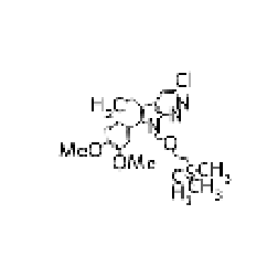 C=Cc1c(-c2ccc(OC)c(OC)c2)n(COCCS(C)(C)C)c2nnc(Cl)cc12